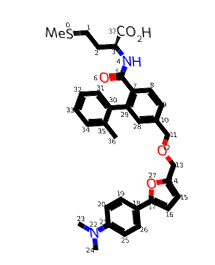 CSCC[C@H](NC(=O)c1ccc(COCc2ccc(-c3ccc(N(C)C)cc3)o2)cc1-c1ccccc1C)C(=O)O